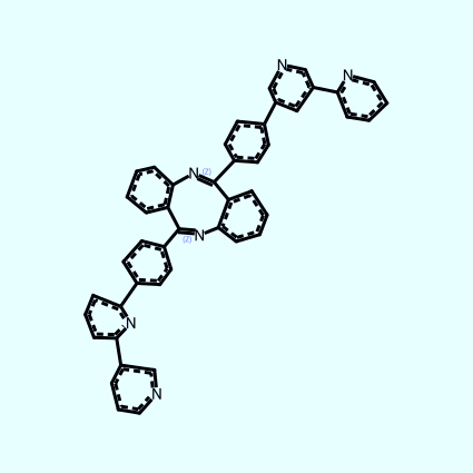 c1ccc(-c2cncc(-c3ccc(/C4=N/c5ccccc5/C(c5ccc(-c6cccc(-c7cccnc7)n6)cc5)=N\c5ccccc54)cc3)c2)nc1